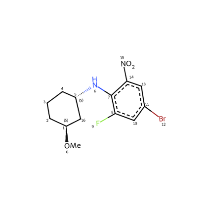 CO[C@H]1CCC[C@H](Nc2c(F)cc(Br)cc2[N+](=O)[O-])C1